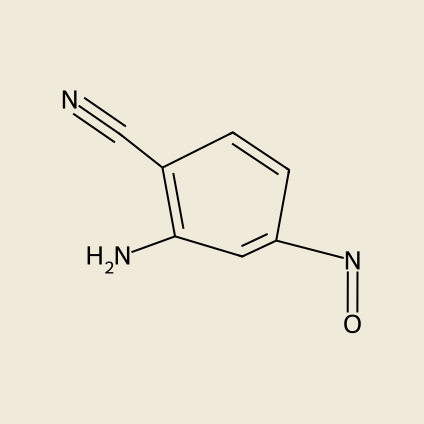 N#Cc1ccc(N=O)cc1N